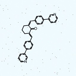 O=C1C(=Cc2ccc(-c3cccnc3)cc2)CCCC1=Cc1ccc(-c2cccnc2)cc1